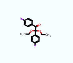 CCOC(OCC)(C(=O)c1ccc(I)cc1)c1ccc(I)cc1